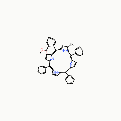 COC(=O)c1ccccc1-c1c2nc(c(-c3ccccc3)c3ccc([nH]3)c(-c3ccccc3)c3nc(c(-c4ccccc4)c4[nH]c1c[c]4[Zn])C=C3)C=C2